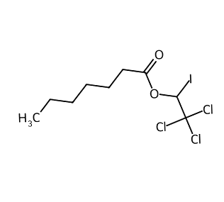 CCCCCCC(=O)OC(I)C(Cl)(Cl)Cl